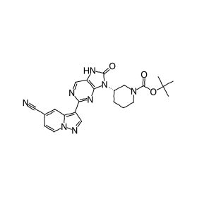 CC(C)(C)OC(=O)N1CCC[C@H](n2c(=O)[nH]c3cnc(-c4cnn5ccc(C#N)cc45)nc32)C1